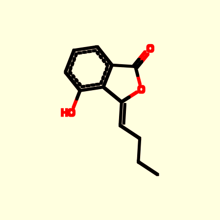 CCCC=C1OC(=O)c2cccc(O)c21